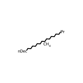 C.CCCCCCCCCCCCCCCCCCCCCCCCC(C)C